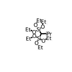 CCO[Si](OCC)(OCC)C(C(C)C)[Si](OCC)(OCC)OCC